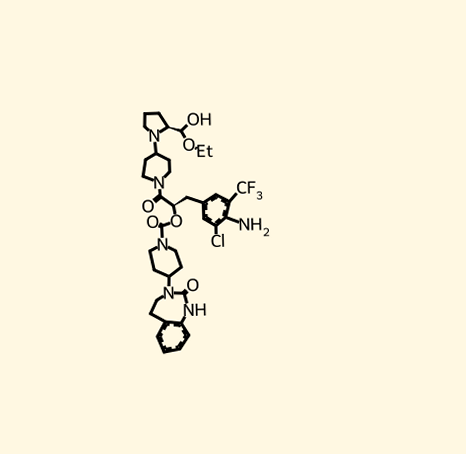 CCOC(O)[C@@H]1CCCN1C1CCN(C(=O)[C@@H](Cc2cc(Cl)c(N)c(C(F)(F)F)c2)OC(=O)N2CCC(N3CCc4ccccc4NC3=O)CC2)CC1